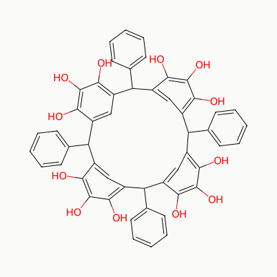 Oc1c2cc(c(O)c1O)C(c1ccccc1)c1cc(c(O)c(O)c1O)C(c1ccccc1)c1cc(c(O)c(O)c1O)C(c1ccccc1)c1cc(c(O)c(O)c1O)C2c1ccccc1